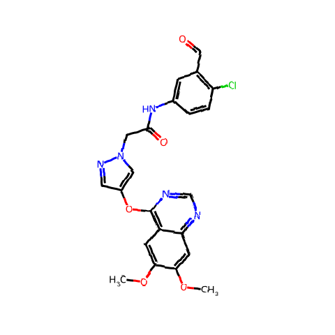 COc1cc2ncnc(Oc3cnn(CC(=O)Nc4ccc(Cl)c(C=O)c4)c3)c2cc1OC